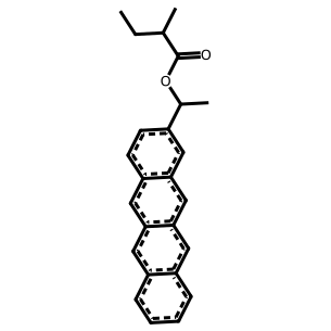 CCC(C)C(=O)OC(C)c1ccc2cc3cc4ccccc4cc3cc2c1